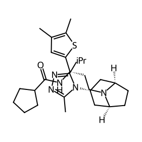 Cc1cc([C@H](CCN2[C@@H]3CC[C@H]2C[C@H](n2c(C)nnc2C(C)C)C3)NC(=O)C2CCCC2)sc1C